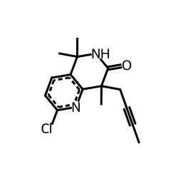 CC#CCC1(C)C(=O)NC(C)(C)c2ccc(Cl)nc21